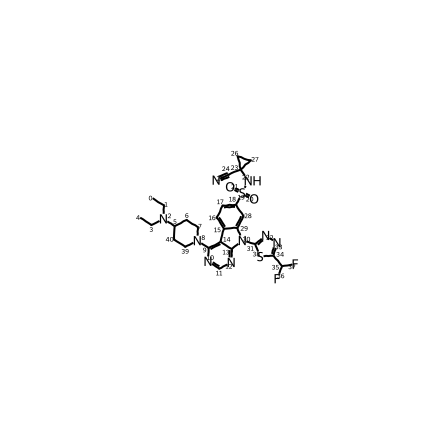 CCN(CC)C1CCN(c2ncnc3c2c2ccc(S(=O)(=O)NC4(C#N)CC4)cc2n3-c2nnc(C(F)F)s2)CC1